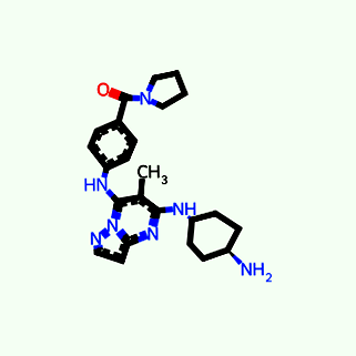 Cc1c(N[C@H]2CC[C@H](N)CC2)nc2ccnn2c1Nc1ccc(C(=O)N2CCCC2)cc1